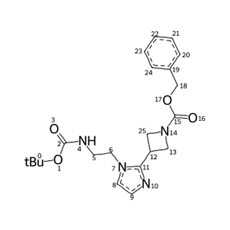 CC(C)(C)OC(=O)NCCn1ccnc1C1CN(C(=O)OCc2ccccc2)C1